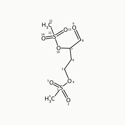 CS(=O)(=O)OCCC(C=O)OS(C)(=O)=O